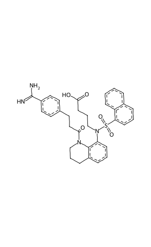 N=C(N)c1ccc(CCC(=O)N2CCCc3cccc(N(CCCC(=O)O)S(=O)(=O)c4cccc5ccccc45)c32)cc1